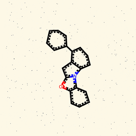 c1ccc(-c2cccc3c2cc2oc4ccccc4n23)cc1